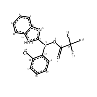 O=C(ON(c1nc2ccccc2[nH]1)c1ccccc1Cl)C(F)(F)F